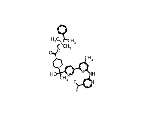 Cc1cc(Nc2cc(C(F)F)ccn2)nc(-c2ccc([C@](C)(O)[C@H]3CC[C@H](C(=O)OC[N+](C)(C)C(C)c4ccccc4)CC3)nc2)c1